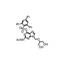 CC(=O)Nc1nc(OS(=O)(=O)c2c(C(C)C)cc(C(C)C)cc2C(C)C)c2ncn(COC(CO)CO)c2n1